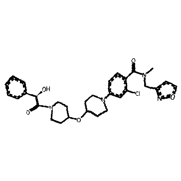 CN(Cc1ccon1)C(=O)c1ccc(N2CCC(OC3CCN(C(=O)[C@H](O)c4ccccc4)CC3)CC2)cc1Cl